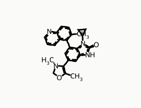 CC1=C(c2cc(-c3c(C)ccc4ncccc34)c3c(c2)[nH]c(=O)n3C2CC2)N(C)CO1